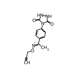 C#CCO/N=C(\C)c1ccc(-n2c(=O)[nH][nH]c2=O)cc1